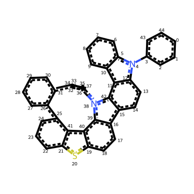 c1ccc(-n2c3ccccc3c3c2ccc2c4ccc5sc6cccc7c8ccccc8c8ccccc8n(c4c5c67)c23)cc1